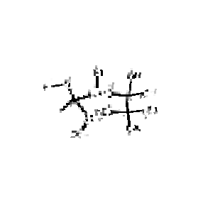 CCCCC(CCCC)(CCCC)C(O)(O)O.CCOC(C)(OCC)OCC